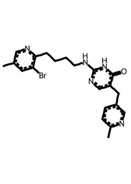 Cc1cnc(CCCCNc2ncc(Cc3ccc(C)nc3)c(=O)[nH]2)c(Br)c1